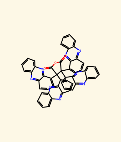 O=C1OC(=O)C(c2cccc3nc4ccccc4nc23)(c2cccc3nc4ccccc4nc23)C1(c1cccc2nc3ccccc3nc12)c1cccc2nc3ccccc3nc12